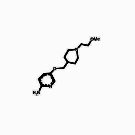 COCCN1CCC(COc2ccc(N)nc2)CC1